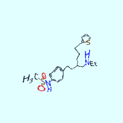 CCNCC(CCCc1cccs1)CCc1ccc(NS(C)(=O)=O)cc1